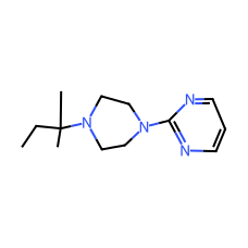 CCC(C)(C)N1CCN(c2ncccn2)CC1